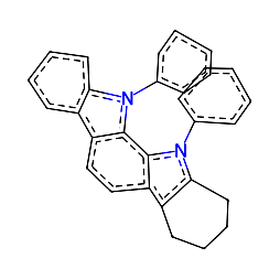 c1ccc(-n2c3c(c4ccc5c6ccccc6n(-c6ccccc6)c5c42)CCCC3)cc1